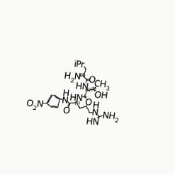 CC(C)C[C@@H](N)C(=O)N[C@H](C(=O)N[C@@H](CCCNC(=N)N)C(=O)Nc1ccc([N+](=O)[O-])cc1)[C@@H](C)O